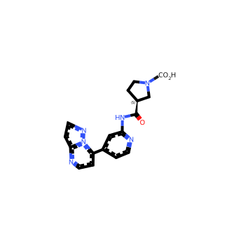 O=C(Nc1cc(-c2ccnc3ccnn23)ccn1)[C@H]1CCN(C(=O)O)C1